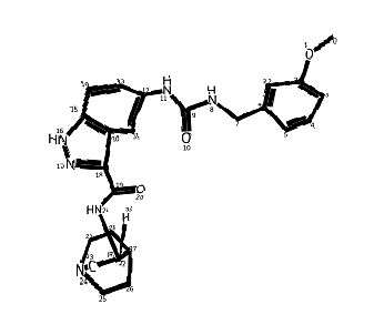 COc1cccc(CNC(=O)Nc2ccc3[nH]nc(C(=O)N[C@H]4CN5CCC4CC5)c3c2)c1